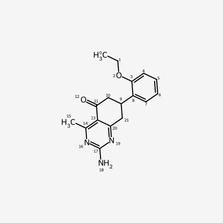 CCOc1ccccc1C1CC(=O)c2c(C)nc(N)nc2C1